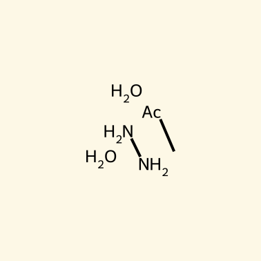 CC(C)=O.NN.O.O